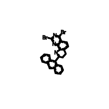 Brc1nc(Br)c2ccc3c(c2n1)N=C(c1c2ccccc2cc2ccccc12)CC3